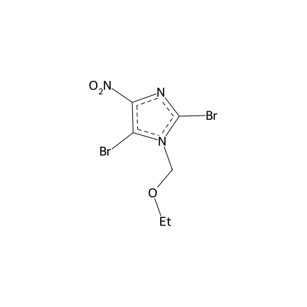 CCOCn1c(Br)nc([N+](=O)[O-])c1Br